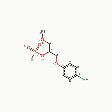 CCOCC(COc1ccc(F)cc1)OS(C)(=O)=O